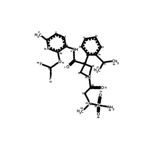 Cc1ccc(NC(=O)C2(c3ccccc3C(C)C)CN(C(=O)CN(C)S(N)(=O)=O)C2)c(OC(F)F)n1